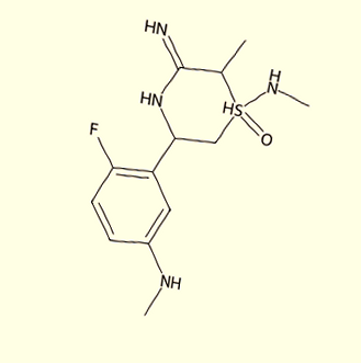 CNc1ccc(F)c(C2C[SH](=O)(NC)C(C)C(=N)N2)c1